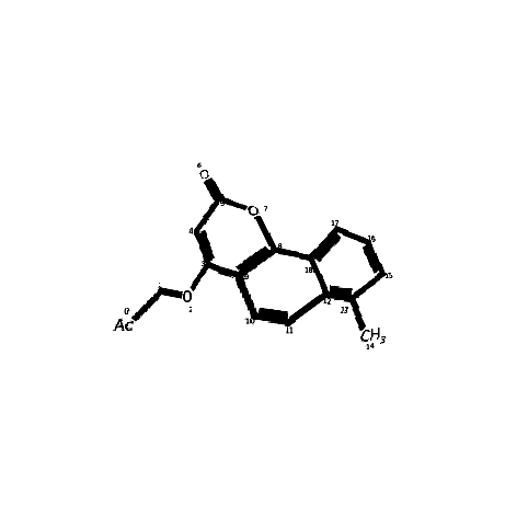 CC(=O)COc1cc(=O)oc2c1ccc1c(C)cccc12